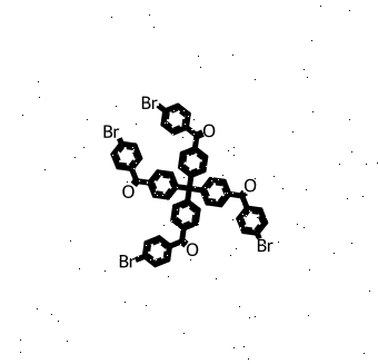 O=C(c1ccc(Br)cc1)c1ccc(C(c2ccc(C(=O)c3ccc(Br)cc3)cc2)(c2ccc(C(=O)c3ccc(Br)cc3)cc2)c2ccc(C(=O)c3ccc(Br)cc3)cc2)cc1